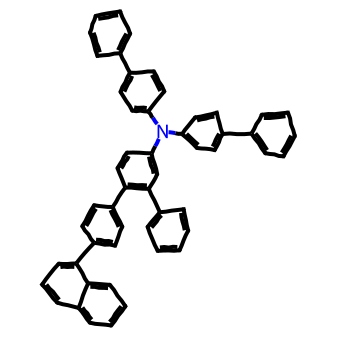 c1ccc(-c2ccc(N(c3ccc(-c4ccccc4)cc3)c3ccc(-c4ccc(-c5cccc6ccccc56)cc4)c(-c4ccccc4)c3)cc2)cc1